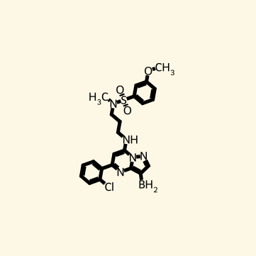 Bc1cnn2c(NCCCN(C)S(=O)(=O)c3cccc(OC)c3)cc(-c3ccccc3Cl)nc12